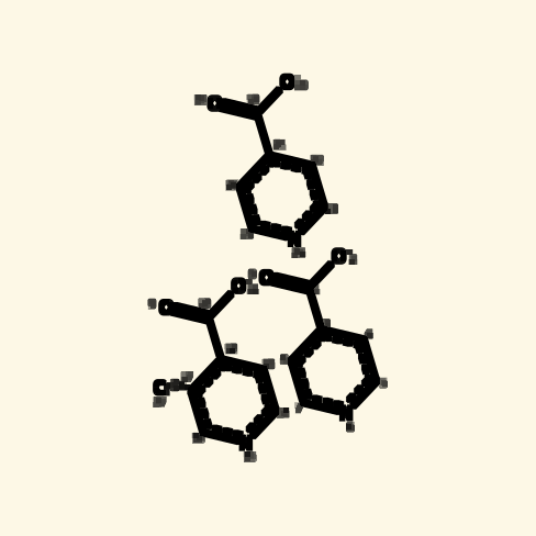 O=C([O-])c1ccncc1.O=C([O-])c1ccncc1.O=C([O-])c1ccncc1.[Cr+3]